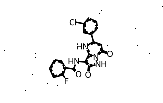 O=C(Nc1c(=O)[nH]n2c(=O)cc(-c3cccc(Cl)c3)[nH]c12)c1ccccc1F